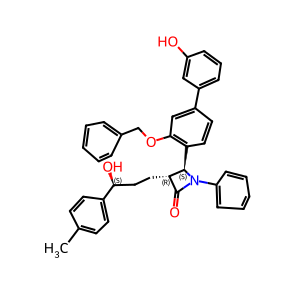 Cc1ccc([C@@H](O)CC[C@H]2C(=O)N(c3ccccc3)[C@@H]2c2ccc(-c3cccc(O)c3)cc2OCc2ccccc2)cc1